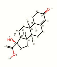 C=C(OC)[C@@]1(O)CC[C@H]2[C@@H]3CCC4=CC(=O)CC[C@]4(C)[C@H]3CC[C@@]21C